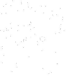 CC1(O)CC(C(=O)N2CC3(CC(Cc4ccc(C(F)F)cc4)C3)C2)C1